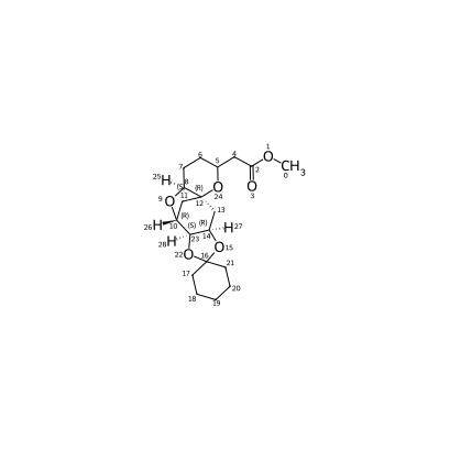 COC(=O)CC1CC[C@@H]2O[C@@H]3C[C@]2(C[C@H]2OC4(CCCCC4)O[C@@H]32)O1